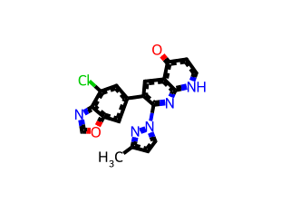 Cc1ccn(-c2nc3[nH]ccc(=O)c3cc2-c2cc(Cl)c3ncoc3c2)n1